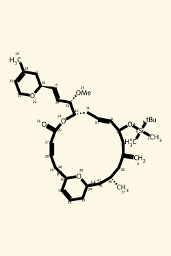 C=C1CC(O[Si](C)(C)C(C)(C)C)/C=C/C[C@@H]([C@H](/C=C/[C@@H]2CC(C)=CCO2)OC)OC(=O)/C=C\C[C@@H]2C=CC[C@@H](C[C@@H](C)C1)O2